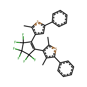 Cc1sc(-c2ccccc2)cc1C1=C(c2c(C)sc(-c3ccccc3)c2C)C(F)(F)C(F)(F)C1(F)F